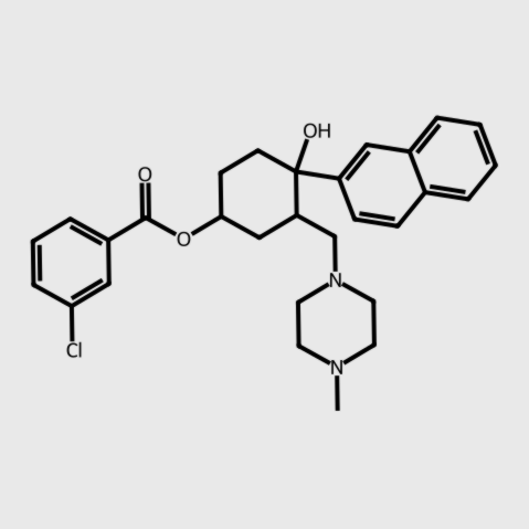 CN1CCN(CC2CC(OC(=O)c3cccc(Cl)c3)CCC2(O)c2ccc3ccccc3c2)CC1